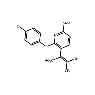 CSc1ncc(C(C(=O)O)=C(O)C(F)(F)F)c(Sc2ccc(Cl)cc2)n1